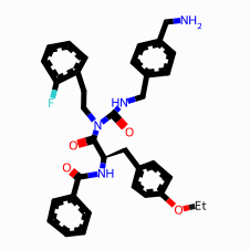 CCOc1ccc(C[C@@H](NC(=O)c2ccccc2)C(=O)N(CCc2ccccc2F)C(=O)NCc2ccc(CN)cc2)cc1